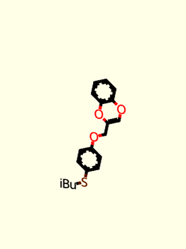 CCC(C)Sc1ccc(OCC2=COc3ccccc3O2)cc1